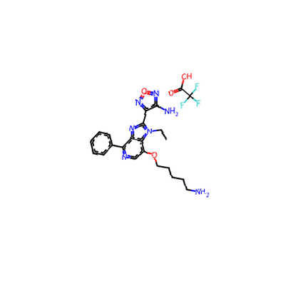 CCn1c(-c2nonc2N)nc2c(-c3ccccc3)ncc(OCCCCCN)c21.O=C(O)C(F)(F)F